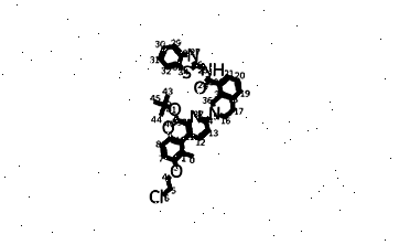 Cc1c(OCCCl)cccc1-c1ccc(N2CCc3cccc(C(=O)Nc4nc5ccccc5s4)c3C2)nc1C(=O)OC(C)(C)C